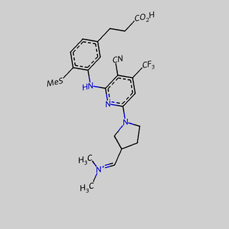 CSc1ccc(CCC(=O)O)cc1Nc1nc(N2CCC(C=[N+](C)C)C2)cc(C(F)(F)F)c1C#N